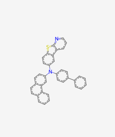 c1ccc(-c2ccc(N(c3ccc4ccc5ccccc5c4c3)c3ccc4sc5ncccc5c4c3)cc2)cc1